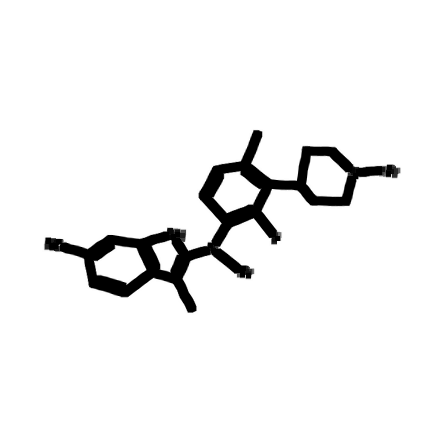 CCCN1CCC(c2c(C)ccc(N(c3[nH]c4cc(C#N)ccc4c3C)C(C)C)c2F)CC1